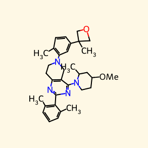 COC1CCN(c2nc(-c3c(C)cccc3C)nc3c2CN(c2cc(C4(C)COC4)ccc2C)CC3)C(C)C1